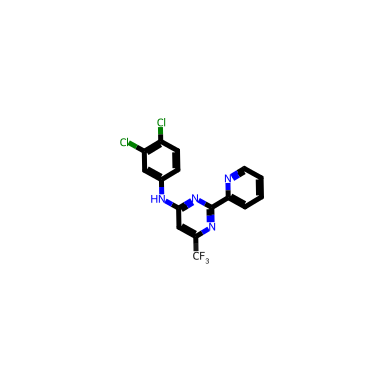 FC(F)(F)c1cc(Nc2ccc(Cl)c(Cl)c2)nc(-c2ccccn2)n1